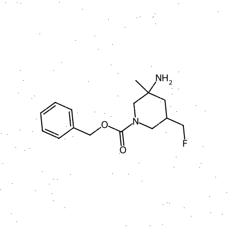 CC1(N)CC(CF)CN(C(=O)OCc2ccccc2)C1